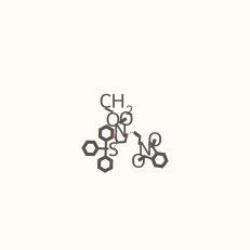 C=CCOC(=O)N1C[C@@H](SC(c2ccccc2)(c2ccccc2)c2ccccc2)C[C@H]1/C=C\CN1C(=O)c2ccccc2C1=O